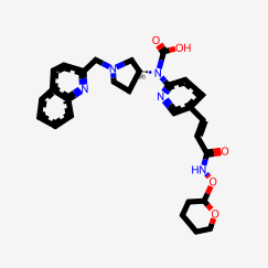 O=C(C=Cc1ccc(N(C(=O)O)[C@@H]2CCN(Cc3ccc4ccccc4n3)C2)nc1)NOC1CCCCO1